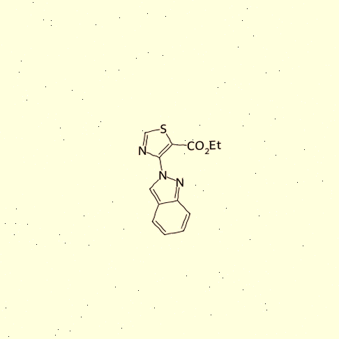 CCOC(=O)c1scnc1-n1cc2ccccc2n1